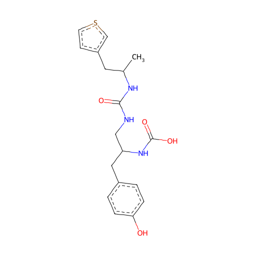 CC(Cc1ccsc1)NC(=O)NCC(Cc1ccc(O)cc1)NC(=O)O